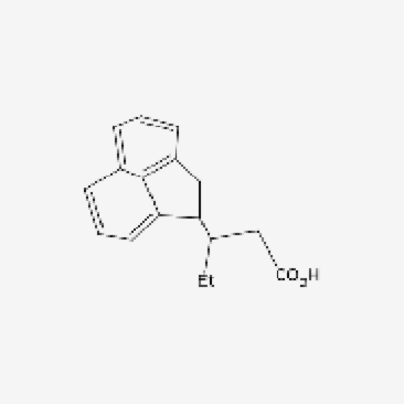 CCC(CC(=O)O)C1Cc2cccc3cccc1c23